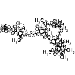 C=C1CC(CO[Si](C)(C)C(C)(C)C)N(C(=O)c2cc(OC)c(OCCCCCOc3cc(NC(=O)OCc4ccc(O[C@@H]5O[C@H](C(=O)OC)[C@@H](OC(C)=O)C(OC(C)=O)[C@H]5OC(C)=O)c(C(=O)NCCOC)c4)c(C(=O)N4CC(=C)C[C@H]4CO[Si](C)(C)C(C)(C)C)cc3OC)cc2N)C1